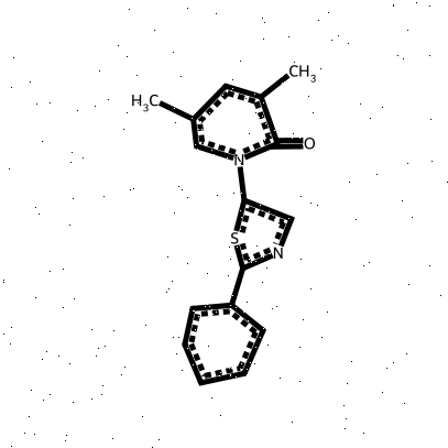 Cc1cc(C)c(=O)n(-c2cnc(-c3ccccc3)s2)c1